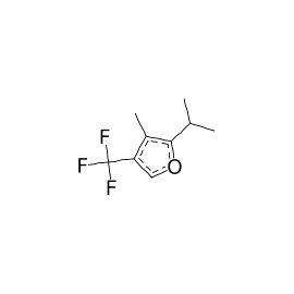 Cc1c(C(F)(F)F)coc1C(C)C